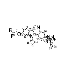 N#CC1c2ccc(OCC(F)F)cc2N(C2CCC2)C1c1ccc(NS(=O)(=O)C2CC2)cc1